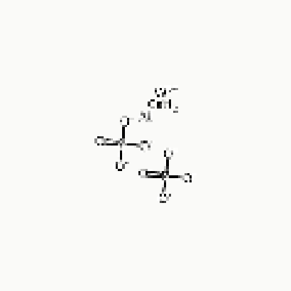 O=P([O-])([O-])[O-].O=P([O-])([O-])[O-].[Al].[CaH2].[W+6]